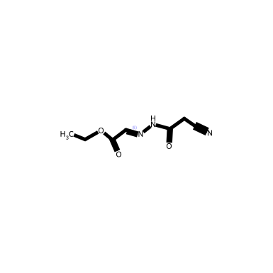 CCOC(=O)/C=N/NC(=O)CC#N